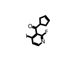 O=C(c1c(I)ccnc1F)C1CC=CC1